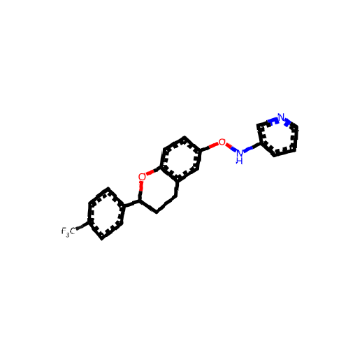 FC(F)(F)c1ccc(C2CCc3cc(ONc4cccnc4)ccc3O2)cc1